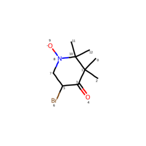 CC1(C)C(=O)C(Br)CN([O])C1(C)C